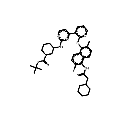 Cc1ccc2c(NC(=O)CC3CCCCC3)c(F)ccc2c1Oc1ncccc1-c1ccnc(NC2CCCN(C(=O)OC(C)(C)C)C2)n1